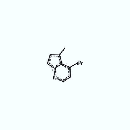 Cc1ccn2nccc(C(C)C)c12